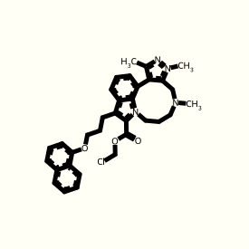 Cc1nn(C)c2c1-c1cccc3c(CCCOc4cccc5ccccc45)c(C(=O)OCCl)n(c13)CCCN(C)C2